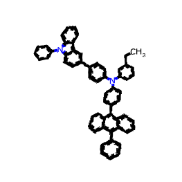 CCc1cccc(N(c2ccc(-c3ccc4c(c3)c3ccccc3n4-c3ccccc3)cc2)c2ccc(-c3c4ccccc4c(-c4ccccc4)c4ccccc34)cc2)c1